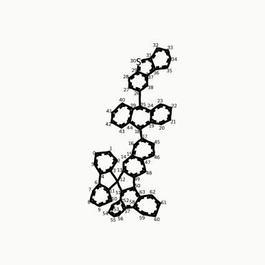 c1ccc2c(c1)-c1ccccc1C21c2cc3cc(-c4c5ccccc5c(-c5ccc6sc7ccccc7c6c5)c5ccccc45)ccc3cc2-c2c1c1ccccc1c1ccccc21